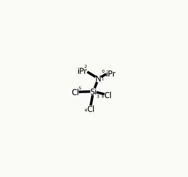 CC(C)N(C(C)C)[Si](Cl)(Cl)Cl